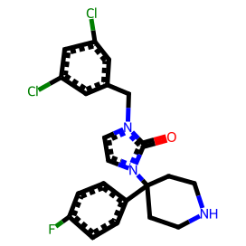 O=c1n(Cc2cc(Cl)cc(Cl)c2)ccn1C1(c2ccc(F)cc2)CCNCC1